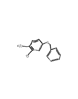 [CH2]c1ccc(Oc2ccccc2)cc1Cl